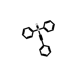 O=P(C#Cc1ccccc1)(c1ccccc1)c1ccccc1